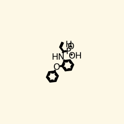 C=CC(Nc1ccccc1Oc1ccccc1)[PH](=O)O